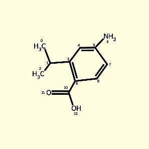 CC(C)c1cc(N)ccc1C(=O)O